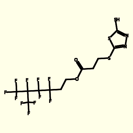 O=C(CCSc1nnc(S)s1)OCCC(F)(F)C(F)(F)C(F)(C(F)(F)F)C(F)(F)F